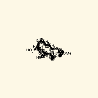 COc1ccc2c3c(c4ccccc4cc13)C(=O)N(CCN(C)CCNCC(=O)[C@H](C)NCN[C@@H](CC(C)C)C(=O)CC(=O)[C@H](C)NCN[C@@H](CC(C)C)C(=O)C(=O)[C@@H](NC(=O)CCC(=O)N[C@@H](CCC(=O)O)C(=O)N[C@@H](CCC(=O)O)C(=O)CN[C@@H](C)C(=O)CN[C@@H](Cc1ccc(O)cc1)C(=O)C(=O)CNN[C@H](C=O)Cc1c[nH]c3ccccc13)C(C)C)C2=O